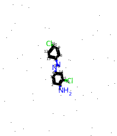 Nc1ccc(N=Nc2ccc(Cl)cc2)cc1Cl